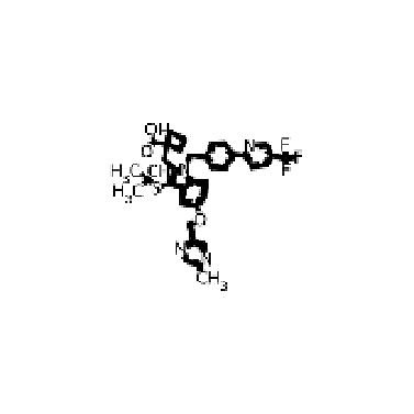 Cc1cnc(COc2ccc3c(c2)c(SC(C)(C)C)c(CC2(C(=O)O)CCC2)n3Cc2ccc(-c3ccc(C(F)(F)F)cn3)cc2)cn1